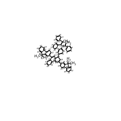 C=C(c1ccccc1)N(/C(=C(\C)c1ccccc1)c1ccccc1)c1ccc(-c2cc(-c3ccc4c(c3)C(C)(C)c3ccccc3-4)nc3c2cc(-c2ccc4c(c2)C(C)(C)c2ccccc2-4)c2ccccc23)cc1